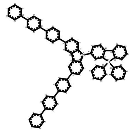 c1ccc(-c2ccc(-c3ccc(-c4ccc5c(c4)c4cc(-c6ccc(-c7ccc(-c8ccccc8)cc7)cc6)ccc4n5-c4ccc5c(c4)[Si](c4ccccc4)(c4ccccc4)c4ccccc4-5)cc3)cc2)cc1